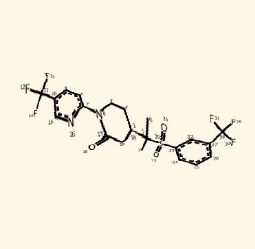 CC(C)([C@@H]1CCN(c2ccc(C(F)(F)F)cn2)C(=O)C1)S(=O)(=O)c1cccc(C(F)(F)F)c1